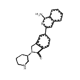 Nc1nc(-c2ccc3c(c2)CN(C2CCCNC2)C3=O)cc2ccccc12